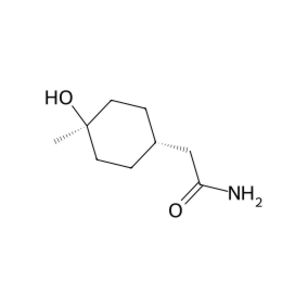 C[C@]1(O)CC[C@H](CC(N)=O)CC1